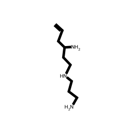 C=CCC(N)CCNCCCN